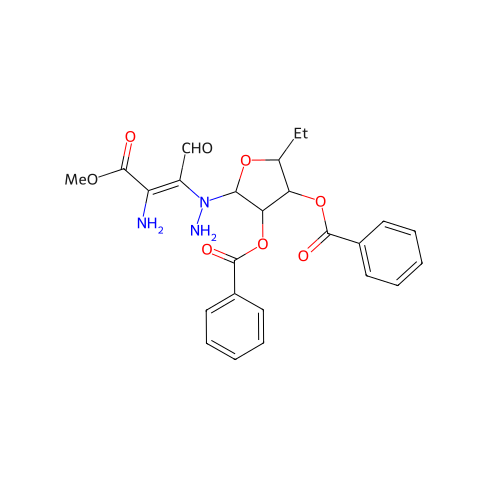 CCC1OC(N(N)/C(C=O)=C(\N)C(=O)OC)C(OC(=O)c2ccccc2)C1OC(=O)c1ccccc1